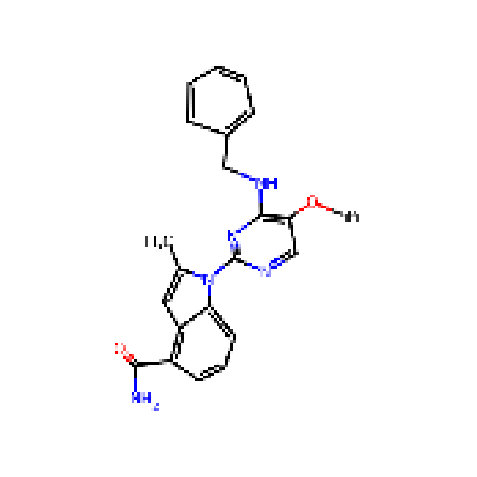 Cc1cc2c(C(N)=O)cccc2n1-c1ncc(OC(C)C)c(NCc2ccccc2)n1